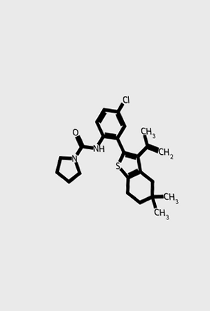 C=C(C)c1c(-c2cc(Cl)ccc2NC(=O)N2CCCC2)sc2c1CC(C)(C)CC2